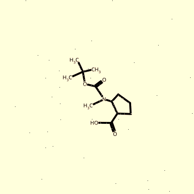 CN(C(=O)OC(C)(C)C)C1CCCC1C(=O)O